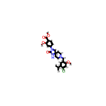 COC(=O)c1ccc(N2CC3(CCN(Cc4cc(C(C)C)c(Cl)cc4OC)CC3)NC2=O)cc1OC